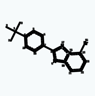 CC(C)(C)c1ccc(-c2nc3cccc(Br)n3n2)cc1